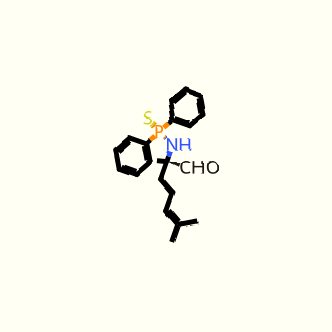 CC(C)=CCC[C@@](C)(C=O)NP(=S)(c1ccccc1)c1ccccc1